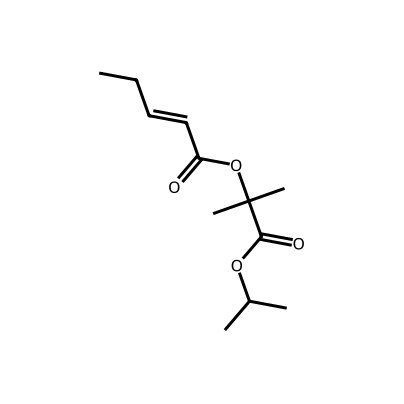 CCC=CC(=O)OC(C)(C)C(=O)OC(C)C